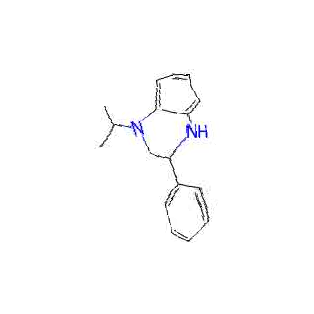 CC(C)N1CC(c2ccccc2)Nc2ccccc21